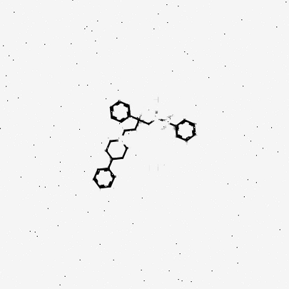 CN(C[C@](C)(CCN1CCC(c2ccccc2)CC1)c1ccccc1)S(=O)(=O)c1ccccc1.Cl